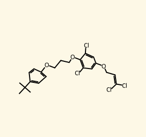 CC(C)(C)c1ccc(OCCCOc2c(Cl)cc(OCC=C(Cl)Cl)cc2Cl)cc1